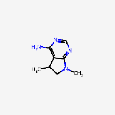 CC1CN(C)c2ncnc(N)c21